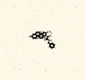 C[C@@H]1CC2(O)[C@@H]3CCC4=CC(=O)C=C[C@]4(C)[C@H]3CC[C@]2(C)[C@H]1C(=O)C(=O)NCc1ccccc1